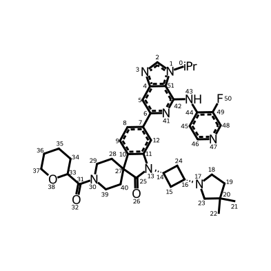 CC(C)n1cnc2cc(-c3ccc4c(c3)N([C@H]3C[C@@H](N5CCC(C)(C)C5)C3)C(=O)C43CCN(C(=O)C4CCCCO4)CC3)nc(Nc3ccncc3F)c21